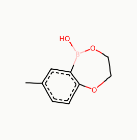 Cc1ccc2c(c1)B(O)OCCO2